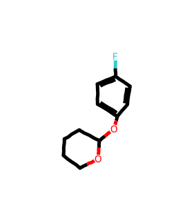 Fc1ccc(OC2CCCCO2)cc1